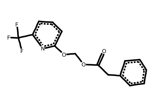 O=C(Cc1ccccc1)OCOc1cccc(C(F)(F)F)n1